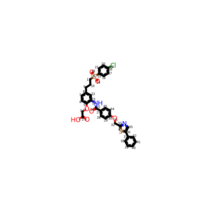 O=C(O)COc1ccc(CCCS(=O)(=O)c2ccc(Cl)cc2)cc1NC(=O)c1ccc(OCc2ncc(-c3ccccc3)s2)cc1